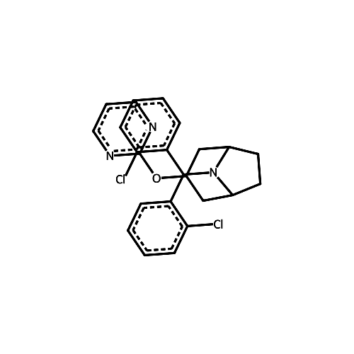 Clc1ccccc1C(c1ccccc1Cl)N1C2CCC1CC(Oc1ncccn1)C2